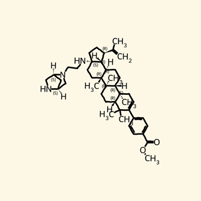 C=C(C)[C@@H]1CC[C@]2(NCCN3C[C@@H]4C[C@H]3CN4)CC[C@]3(C)[C@H](CC[C@@H]4[C@@]5(C)CC=C(c6ccc(C(=O)OC)cc6)C(C)(C)[C@@H]5CC[C@]43C)[C@@H]12